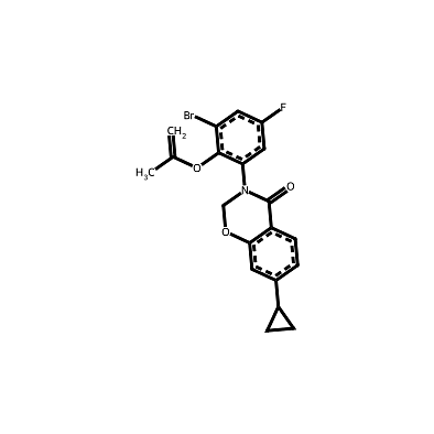 C=C(C)Oc1c(Br)cc(F)cc1N1COc2cc(C3CC3)ccc2C1=O